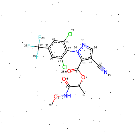 CONC(=O)C(C)OC(=O)c1c(C#N)cnn1-c1c(Cl)cc(C(F)(F)F)cc1Cl